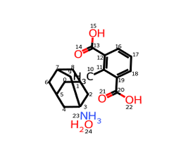 C1C2CC3CC1CC(C2)C3.Cc1c(C(=O)O)cccc1C(=O)O.N.O